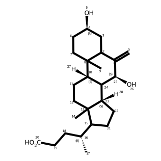 C=C1C2C[C@H](O)CCC2(C)[C@H]2CCC3(C)C([C@H](C)CCC(=O)O)CC[C@H]3C2[C@@H]1O